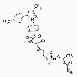 Cc1ccc(-c2cc(C(F)(F)F)nn2-c2ccc(S(=O)(=O)NC(=O)OCCN(C(C)C)/[N+]([O-])=N/OC(C)OC(=O)C(C)(C)C)cc2)cc1